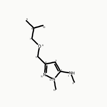 CNc1cc(COCC(C)C)nn1C